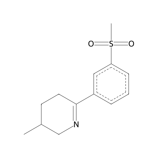 CC1CCC(c2cccc(S(C)(=O)=O)c2)=NC1